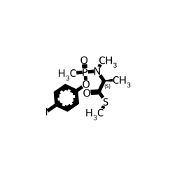 CSC(=O)[C@H](C)N(C)P(C)(=O)Oc1ccc(I)cc1